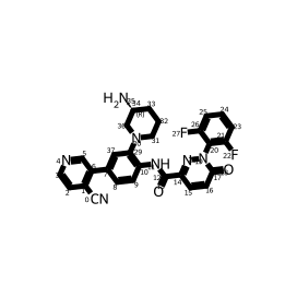 N#Cc1ccncc1-c1ccc(NC(=O)c2ccc(=O)n(-c3c(F)cccc3F)n2)c(N2CCC[C@@H](N)C2)c1